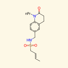 C/C=C/CS(=O)(=O)NCc1ccc2c(c1)CCC(=O)N2CCC